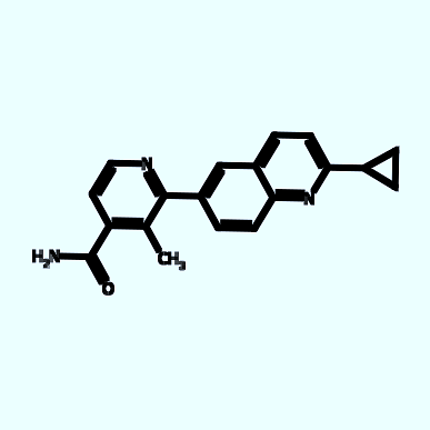 Cc1c(C(N)=O)ccnc1-c1ccc2nc(C3CC3)ccc2c1